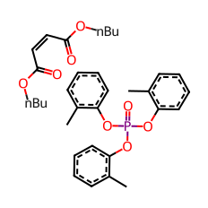 CCCCOC(=O)/C=C\C(=O)OCCCC.Cc1ccccc1OP(=O)(Oc1ccccc1C)Oc1ccccc1C